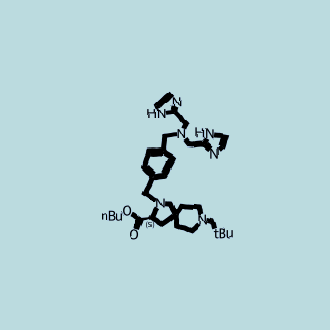 CCCCOC(=O)[C@@H]1CC2(CCN(CC(C)(C)C)CC2)CN1Cc1ccc(CN(Cc2ncc[nH]2)Cc2ncc[nH]2)cc1